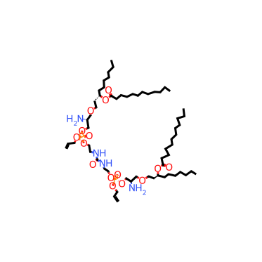 C=CCOP(=O)(OCCNC(=O)NCCOP(=O)(OCC=C)OC[C@H](N)COCC[C@H](CCCCCCC)OC(=O)CCCCCCCCCCC)OC[C@H](N)COCC[C@H](CCCCCCC)OC(=O)CCCCCCCCCCC